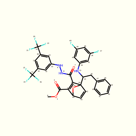 COC(=O)C1=C(C(=O)NNc2cc(C(F)(F)F)cc(C(F)(F)F)c2)C2(C(Cc3ccccc3)Nc3cc(F)cc(F)c3)C=CC1O2